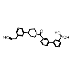 C#CCc1cccc(C2CCN(C(=O)c3cccc(-c4cccc(B(O)O)c4)c3)CC2)c1